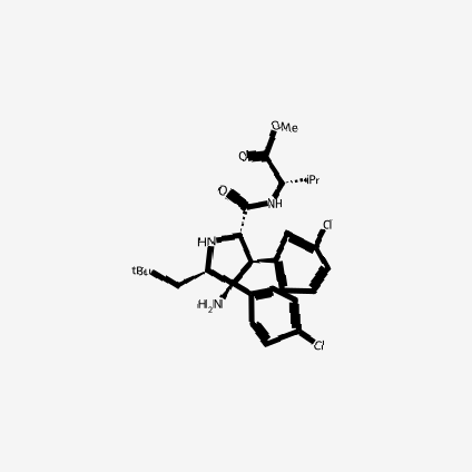 COC(=O)[C@@H](NC(=O)[C@H]1N[C@H](CC(C)(C)C)[C@@](N)(c2ccc(Cl)cc2)[C@@H]1c1cccc(Cl)c1)C(C)C